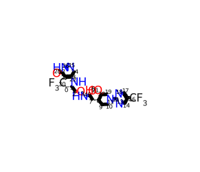 C[C@@H](CONC(=O)C[C@H]1CCN(c2ncc(C(F)(F)F)cn2)C[C@@H]1O)Nc1cn[nH]c(=O)c1C(F)(F)F